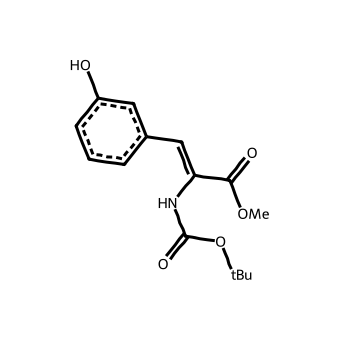 COC(=O)C(=Cc1cccc(O)c1)NC(=O)OC(C)(C)C